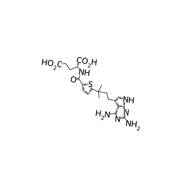 CC(C)(CCc1c[nH]c2nc(N)nc(N)c12)c1ccc(C(=O)N[C@@H](CCC(=O)O)C(=O)O)s1